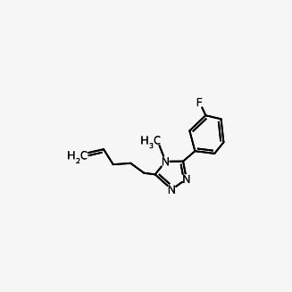 C=CCCCc1nnc(-c2cccc(F)c2)n1C